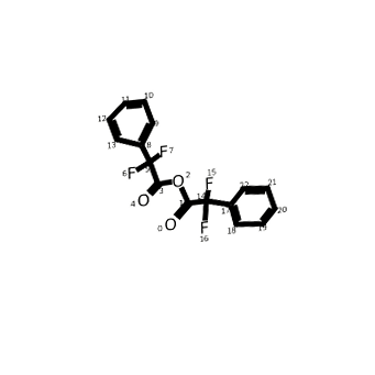 O=C(OC(=O)C(F)(F)c1ccccc1)C(F)(F)c1ccccc1